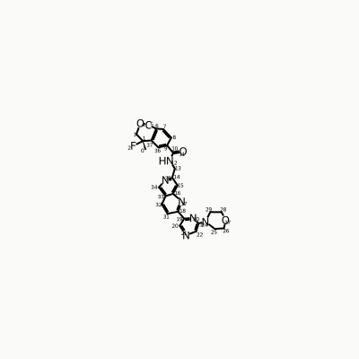 C[C@@]1(F)COCc2ccc(C(=O)NCc3cc4nc(-c5cncc(N6CCOCC6)n5)ccc4cn3)cc21